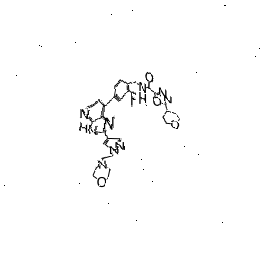 O=C(NCc1ccc(-c2ccnc3[nH]c(-c4cnn(CCN5CCOCC5)c4)nc23)cc1F)c1nnc(C2CCOCC2)o1